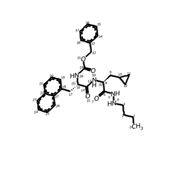 CCCCNNC(=O)[C@H](CC1CC1)NC(=O)[C@H](Cc1cccc2ccccc12)NC(=O)OCc1ccccc1